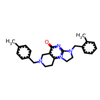 Cc1ccc(CN2CCc3c(c(=O)nc4n3CCN4Cc3ccccc3C)C2)cc1